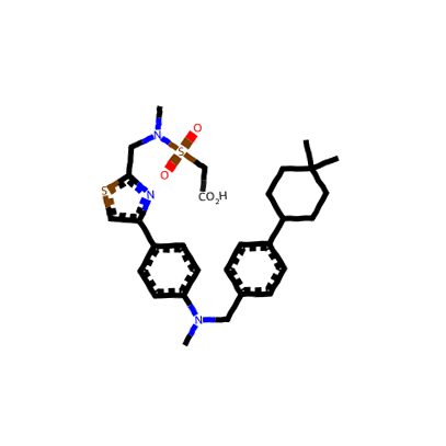 CN(Cc1ccc(C2CCC(C)(C)CC2)cc1)c1ccc(-c2csc(CN(C)S(=O)(=O)CC(=O)O)n2)cc1